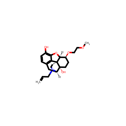 C=CCN1CC[C@]23c4c5ccc(O)c4O[C@H]2[C@@H](OCCOC)CC[C@@]3(O)[C@H]1C5